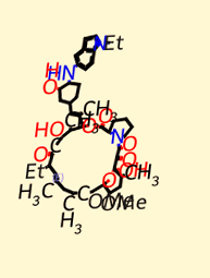 CCC1/C=C(\C)CC(C)CC(OC)C2OC(O)(C(=O)C(=O)N3CCCCC3C(=O)OC(C(C)=CC3CCC(Nc4ccc5c(ccn5CC)c4)C(O)C3)C(C)C(O)CC1=O)C(C)CC2OC